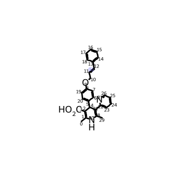 CC1=C(C(=O)O)C(c2ccc(OC/C=C/c3ccccc3)cc2)C(c2ccccn2)=C(C)N1